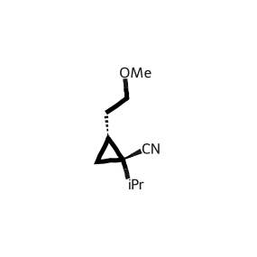 COCC[C@H]1C[C@@]1(C#N)C(C)C